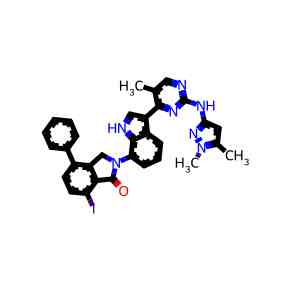 Cc1cnc(Nc2cc(C)n(C)n2)nc1-c1c[nH]c2c(N3Cc4c(-c5ccccc5)ccc(I)c4C3=O)cccc12